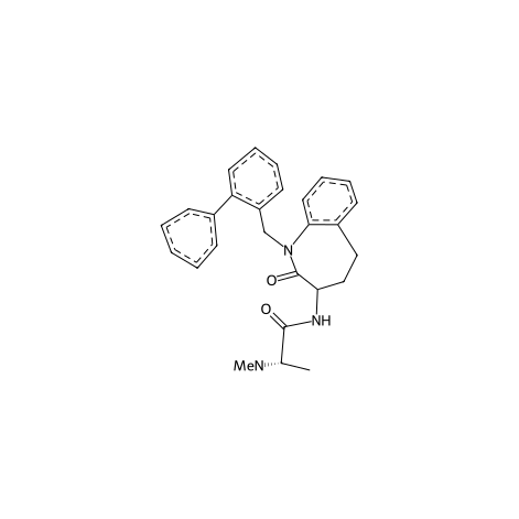 CN[C@@H](C)C(=O)NC1CCc2ccccc2N(Cc2ccccc2-c2ccccc2)C1=O